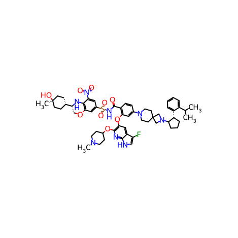 CC(C)c1ccccc1[C@@H]1CCCC1N1CC2(CCN(c3ccc(C(=O)NS(=O)(=O)c4cc5c(c([N+](=O)[O-])c4)N[C@@H]([C@H]4CC[C@](C)(O)CC4)CO5)c(Oc4cc5c(F)c[nH]c5nc4OC4CCN(C)CC4)c3)CC2)C1